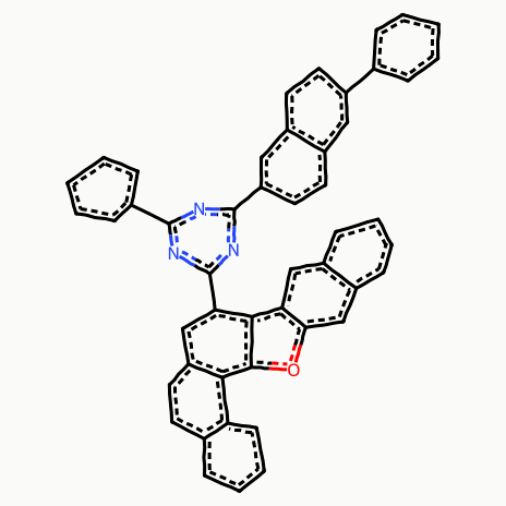 c1ccc(-c2ccc3cc(-c4nc(-c5ccccc5)nc(-c5cc6ccc7ccccc7c6c6oc7cc8ccccc8cc7c56)n4)ccc3c2)cc1